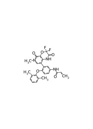 C=CC(=O)Nc1ccc(Oc2c(C)cccc2C)c(-c2cn(C)c(=O)c3c2NC(=O)C(F)(F)O3)c1